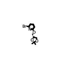 CC1(C)OC[C@@H](COc2cccc(Br)n2)O1